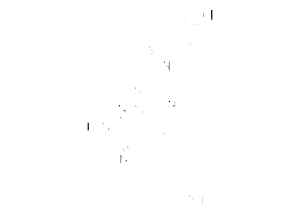 N#Cc1c(N)nc(SCc2csc(-c3ccc(Cl)cc3)n2)c(C#N)c1-c1ccc(CCCO)cc1